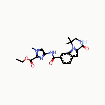 CCOC(=O)c1nc(NC(=O)c2ccc3cc4n(c3c2)C(C)(C)CNC4=O)cn1C